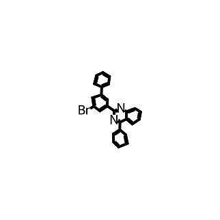 Brc1cc(-c2ccccc2)cc(-c2nc(-c3ccccc3)c3ccccc3n2)c1